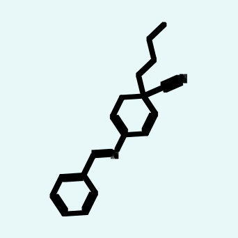 CCCCC1(C#N)C=CC(N=Cc2ccccc2)=CC1